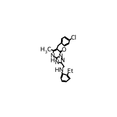 CCc1ccccc1NCc1nc2[nH]c(C)c(Cc3ccc(Cl)cc3)c(=O)n2n1